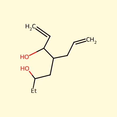 C=CCC(CC(O)CC)C(O)C=C